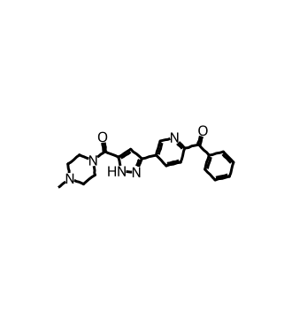 CN1CCN(C(=O)c2cc(-c3ccc(C(=O)c4ccccc4)nc3)n[nH]2)CC1